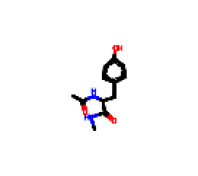 CNC(=O)C(Cc1ccc(O)cc1)NC(C)=O